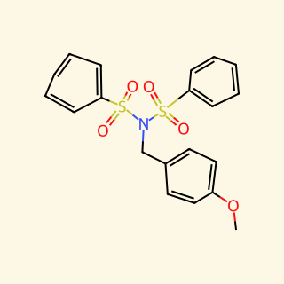 COc1ccc(CN(S(=O)(=O)c2ccccc2)S(=O)(=O)c2ccccc2)cc1